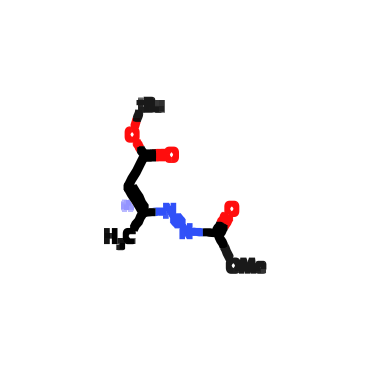 COC(=O)N=N/C(C)=C\C(=O)OC(C)(C)C